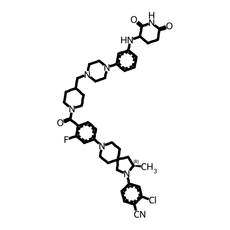 C[C@@H]1CC2(CCN(c3ccc(C(=O)N4CCC(CN5CCN(c6cccc(NC7CCC(=O)NC7=O)c6)CC5)CC4)c(F)c3)CC2)CN1c1ccc(C#N)c(Cl)c1